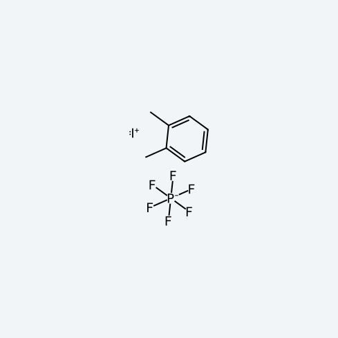 Cc1ccccc1C.F[P-](F)(F)(F)(F)F.[I+]